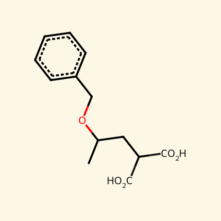 CC(CC(C(=O)O)C(=O)O)OCc1ccccc1